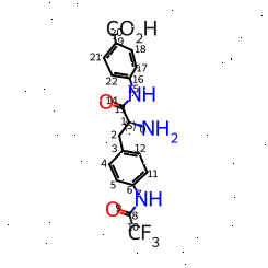 N[C@@H](Cc1ccc(NC(=O)C(F)(F)F)cc1)C(=O)Nc1ccc(C(=O)O)cc1